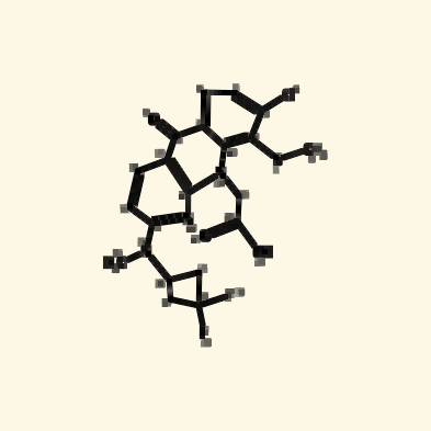 CSc1c(Cl)ccc2c(=O)c3ccc(N(C)C4CC(F)(F)C4)nc3n(CC(=O)O)c12